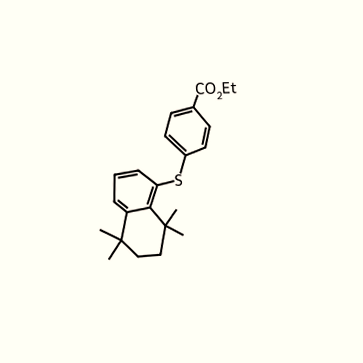 CCOC(=O)c1ccc(Sc2cccc3c2C(C)(C)CCC3(C)C)cc1